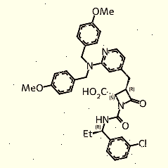 CC[C@@H](NC(=O)N1C(=O)[C@H](Cc2ccnc(N(Cc3ccc(OC)cc3)Cc3ccc(OC)cc3)c2)[C@H]1C(=O)O)c1cccc(Cl)c1